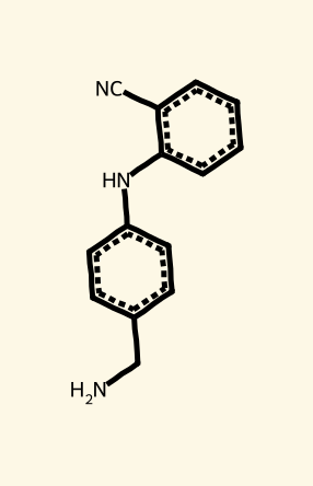 N#Cc1ccccc1Nc1ccc(CN)cc1